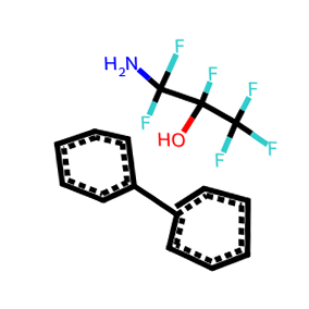 NC(F)(F)C(O)(F)C(F)(F)F.c1ccc(-c2ccccc2)cc1